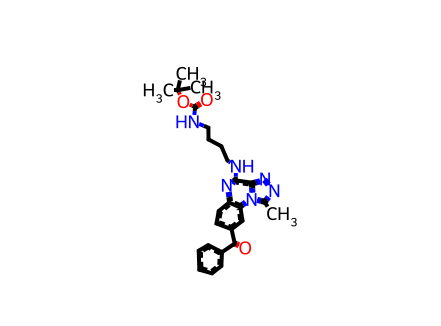 Cc1nnc2c(NCCCCNC(=O)OC(C)(C)C)nc3ccc(C(=O)c4ccccc4)cc3n12